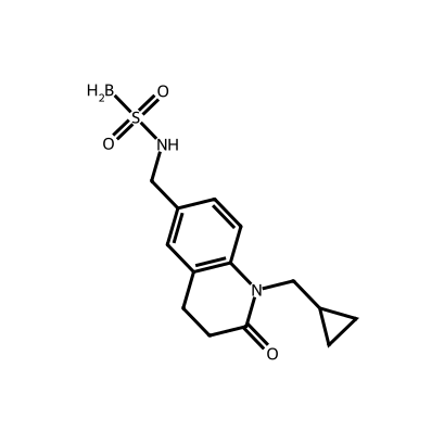 BS(=O)(=O)NCc1ccc2c(c1)CCC(=O)N2CC1CC1